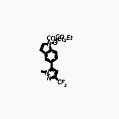 CCOC(=O)O[N+]1(C(=O)OCC)C=Cc2cc(-c3cc(C(F)(F)F)nn3C)ccc21